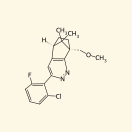 COC[C@]12CC[C@H](c3cc(-c4c(F)cccc4Cl)nnc31)C2(C)C